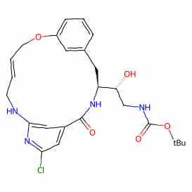 CC(C)(C)OC(=O)NC[C@@H](O)[C@@H]1Cc2cccc(c2)OC/C=C/CNc2cc(cc(Cl)n2)C(=O)N1